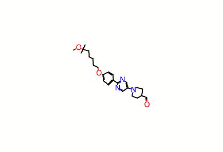 COC(C)(C)CCCCCOc1ccc(-c2ncc(N3CCC(C=O)CC3)cn2)cc1